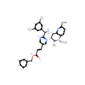 CCOC(=O)N1c2ccc(OC)nc2[C@@H](NC(c2cc(C(F)(F)F)cc(C(F)(F)F)c2)c2ncc(C=CC(=O)OCc3ccccc3)cn2)C[C@H]1CC